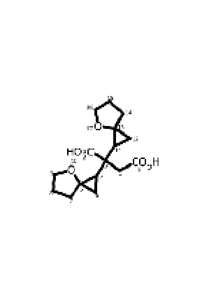 O=C(O)CC(C(=O)O)(C1CC12CCCO2)C1CC12CCCO2